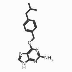 CC(C)Cc1ccc(COc2nc(N)nc3[nH]cnc23)cc1